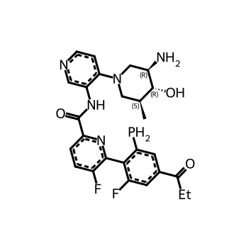 CCC(=O)c1cc(F)c(-c2nc(C(=O)Nc3cnccc3N3C[C@@H](N)[C@H](O)[C@@H](C)C3)ccc2F)c(P)c1